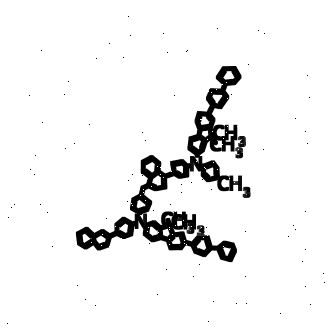 Cc1ccc(N(c2ccc(-c3ccc(Cc4ccc(N(c5ccc(-c6ccc7ccccc7c6)cc5)c5ccc6c(c5)C(C)(C)c5cc(-c7ccc(-c8ccccc8)cc7)ccc5-6)cc4)c4ccccc34)cc2)c2ccc3c(c2)C(C)(C)c2cc(-c4ccc(-c5ccccc5)cc4)ccc2-3)cc1